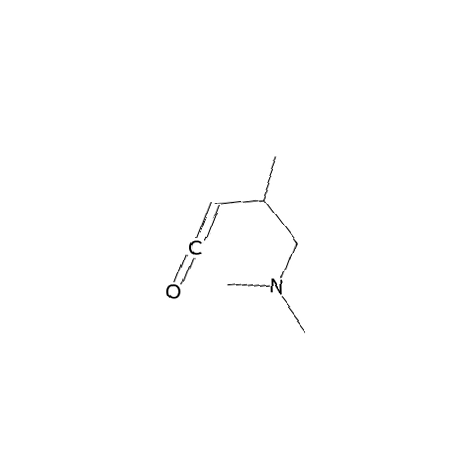 CC(C=C=O)CN(C)C